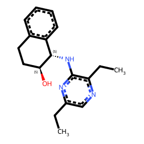 CCc1cnc(CC)c(N[C@H]2c3ccccc3CC[C@@H]2O)n1